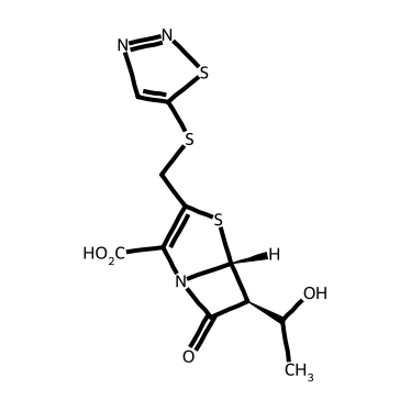 CC(O)[C@H]1C(=O)N2C(C(=O)O)=C(CSc3cnns3)S[C@H]12